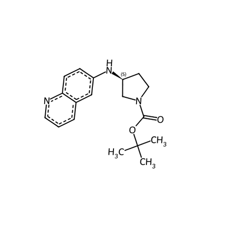 CC(C)(C)OC(=O)N1CC[C@H](Nc2ccc3ncccc3c2)C1